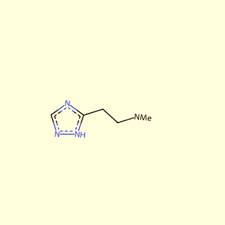 CNCCc1ncn[nH]1